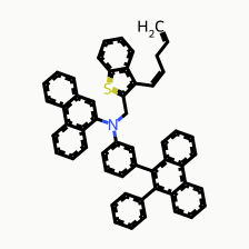 C=CC/C=C\c1c(CN(c2cccc(-c3c(-c4ccccc4)c4ccccc4c4ccccc34)c2)c2cc3ccccc3c3ccccc23)sc2ccccc12